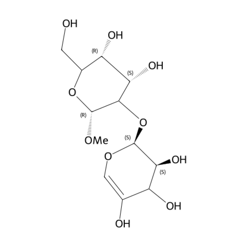 CO[C@@H]1OC(CO)[C@H](O)[C@H](O)C1O[C@@H]1OC=C(O)C(O)[C@@H]1O